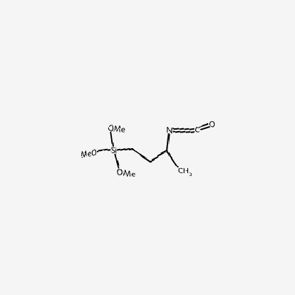 CO[Si](CCC(C)N=C=O)(OC)OC